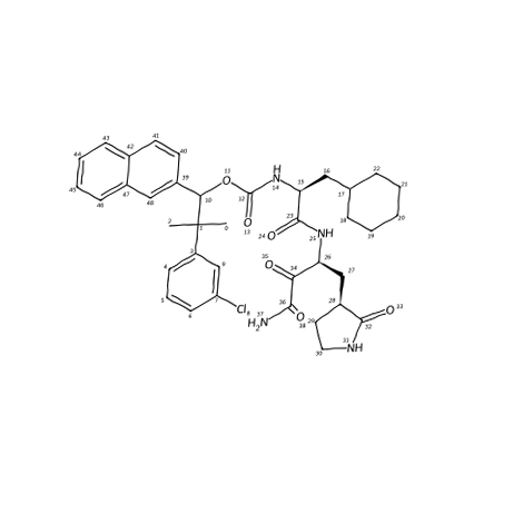 CC(C)(c1cccc(Cl)c1)C(OC(=O)N[C@@H](CC1CCCCC1)C(=O)N[C@@H](C[C@@H]1CCNC1=O)C(=O)C(N)=O)c1ccc2ccccc2c1